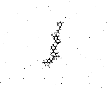 COc1cc2c(Oc3ccc(-c4cnc(Nc5ccc(N(C)C)cc5)n(C)c4=O)cc3F)ccnc2cc1OCCCN1CCOCC1